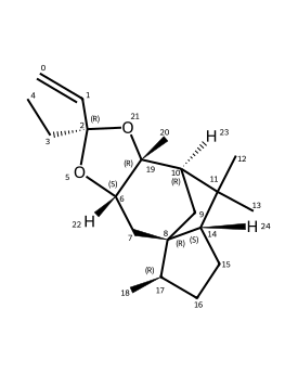 C=C[C@]1(CC)O[C@H]2C[C@@]34C[C@H](C(C)(C)[C@@H]3CC[C@H]4C)[C@@]2(C)O1